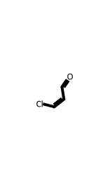 O=C/C=C\Cl